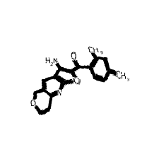 Cc1ccc(C(=O)c2oc3nc4c(cc3c2N)COCC4)c(C)c1